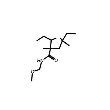 CCC(C)C(C)(CC(C)(C)CC)C(=O)NCOC